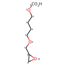 O=C(O)OCCCCOCC1CO1